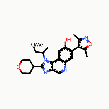 COCC(C)n1c(C2CCOCC2)nc2cnc3cc(-c4c(C)noc4C)c(O)cc3c21